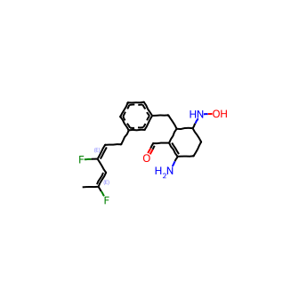 C/C(F)=C\C(F)=C/Cc1cccc(CC2C(C=O)=C(N)CCC2NO)c1